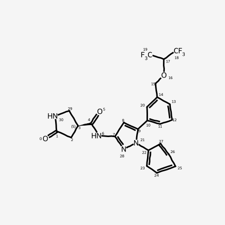 O=C1C[C@H](C(=O)Nc2cc(-c3cccc(COC(C(F)(F)F)C(F)(F)F)c3)n(-c3ccccc3)n2)CN1